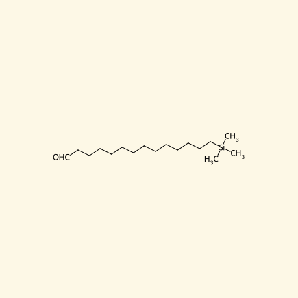 C[Si](C)(C)CCCCCCCCCCCCCC=O